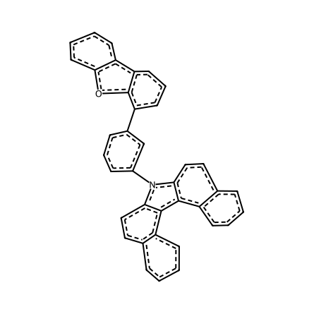 c1cc(-c2cccc3c2oc2ccccc23)cc(-n2c3ccc4ccccc4c3c3c4ccccc4ccc32)c1